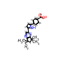 CC1(C)CC(C)(C)c2nc(-c3ccc(-c4ccc(C(=O)O)cc4)[nH]3)cnc21